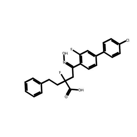 O=C(O)C(F)(CCc1ccccc1)CC(=NO)c1ccc(-c2ccc(Cl)cc2)cc1F